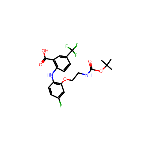 CC(C)(C)OC(=O)NCCOc1cc(F)ccc1Nc1ccc(C(F)(F)F)cc1C(=O)O